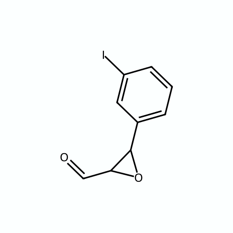 O=CC1OC1c1cccc(I)c1